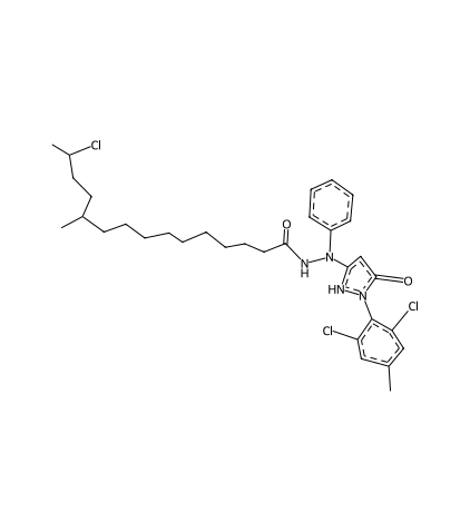 Cc1cc(Cl)c(-n2[nH]c(N(NC(=O)CCCCCCCCCC(C)CCC(C)Cl)c3ccccc3)cc2=O)c(Cl)c1